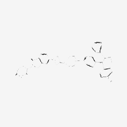 O=C1CCC(N2Cc3cc(N4CC(N5CCN(c6ccc(C7c8ccc(O)cc8OCC7c7ccccc7)cc6)CC5)C4)ccc3C2=O)C(=O)N1